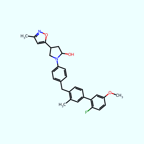 COc1ccc(F)c(-c2ccc(Cc3ccc(N4CC(c5cc(C)no5)CC4O)cc3)c(C)c2)c1